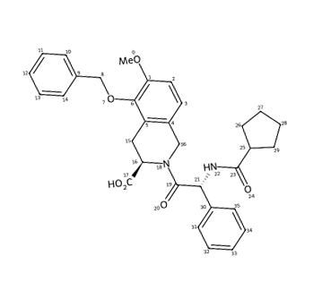 COc1ccc2c(c1OCc1ccccc1)C[C@H](C(=O)O)N(C(=O)[C@H](NC(=O)C1CCCC1)c1ccccc1)C2